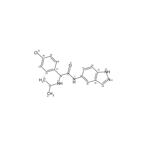 CC(C)NC(C(=O)Nc1ccc2[nH]ncc2c1)c1ccc(Cl)cc1